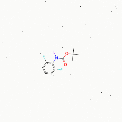 CC(C)(C)OC(=O)N(I)c1c(F)cccc1F